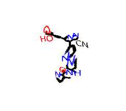 Cc1cccnc1C(=O)NC1(C)CCN(c2ccc(-c3cc(C#CC4(O)COC4)cn4ncc(C#N)c34)cn2)CC1